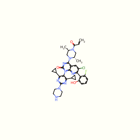 C=CC(=O)N1C[C@H](C)N(c2nc(=O)n(-c3c(C4CC4)nc(N4CCNCC4)nc3C3CC3)c3nc(-c4c(O)cccc4F)c(Cl)cc23)C[C@H]1C